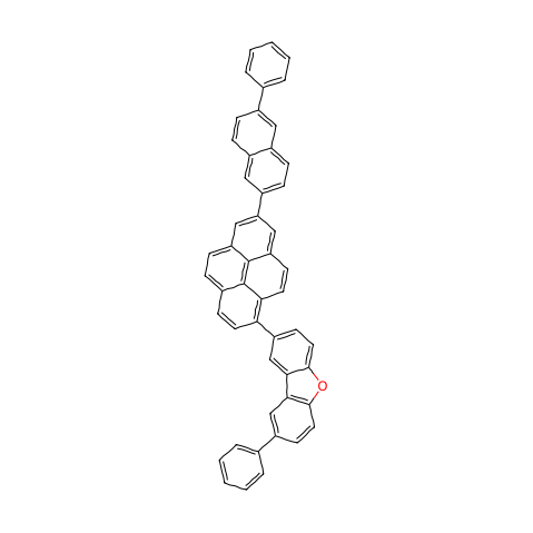 c1ccc(-c2ccc3cc(-c4cc5ccc6ccc(-c7ccc8oc9ccc(-c%10ccccc%10)cc9c8c7)c7ccc(c4)c5c67)ccc3c2)cc1